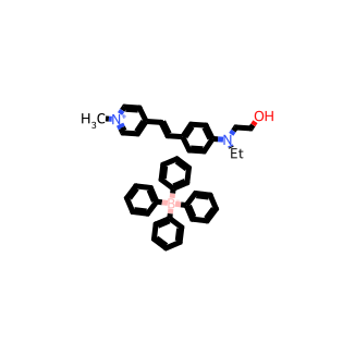 CCN(CCO)c1ccc(/C=C/c2cc[n+](C)cc2)cc1.c1ccc([B-](c2ccccc2)(c2ccccc2)c2ccccc2)cc1